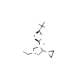 CCN1CC(N2CC2)[N+]([O-])(c2nnc(C(F)(F)F)s2)C1